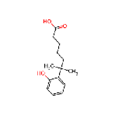 CC(C)(CCCCC(=O)O)c1ccccc1O